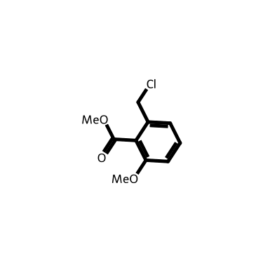 COC(=O)c1c(CCl)cccc1OC